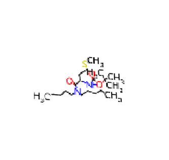 CCCCCN(CCCCC)C(=O)[C@@H](CCSC)NC(=O)OC(C)(C)C